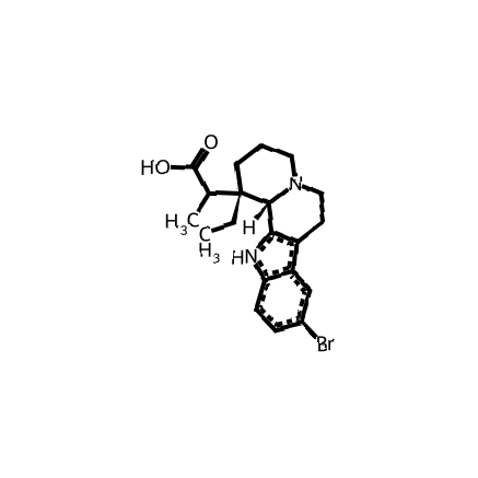 CC[C@@]1(C(C)C(=O)O)CCCN2CCc3c([nH]c4ccc(Br)cc34)[C@@H]21